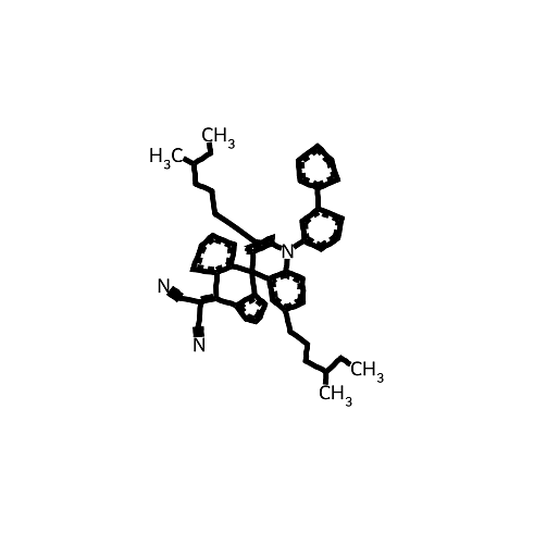 CCC(C)CCCc1ccc2c(c1)C1(c3ccccc3C(=C(C#N)C#N)c3ccccc31)c1cc(CCCC(C)CC)ccc1N2c1cccc(-c2ccccc2)c1